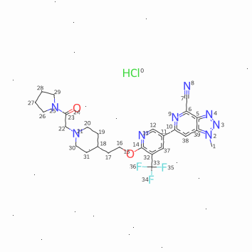 Cl.Cn1nnc2c(C#N)nc(-c3cnc(OCCC4CCN(CC(=O)N5CCCC5)CC4)c(C(F)(F)F)c3)cc21